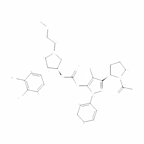 COCCN1C[C@@H](NC(=O)Nc2c(C)c([C@H]3CCCN3C(C)=O)nn2C2=CCCC=C2)[C@H](c2ccc(F)c(F)c2)C1